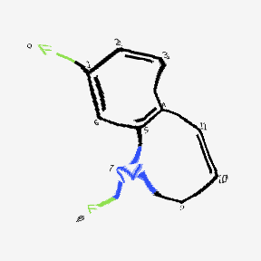 Fc1ccc2c(c1)N(F)CC=C2